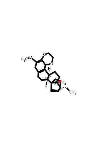 CC[C@@]12C=CC3(CC1)[C@@H]1CCC4=C(C5OCCOC5=C(OC)C4)[C@H]1CC[C@@]32C